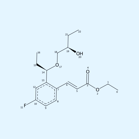 CCOC(=O)/C=C/c1ccc(F)cc1[C@@H](CC)OC[C@H](O)CC